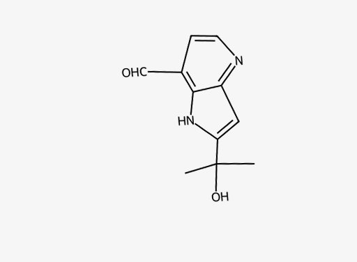 CC(C)(O)c1cc2nccc(C=O)c2[nH]1